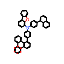 c1ccc(-c2ccccc2-c2c(-c3ccccc3)cccc2-c2ccc(N(c3ccc(-c4cccc5ccccc45)cc3)c3cccc4c3oc3ccccc34)cc2)cc1